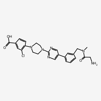 CN(Cc1cccc(-c2cnc(N3CCN(c4ccc(C(=O)O)cc4Cl)CC3)nc2)c1)C(=O)CN